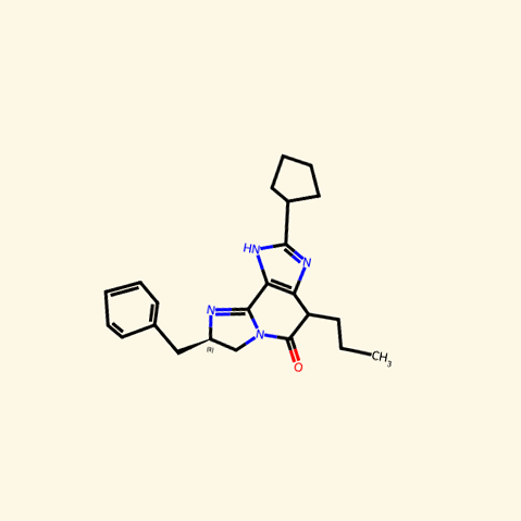 CCCC1C(=O)N2C[C@@H](Cc3ccccc3)N=C2c2[nH]c(C3CCCC3)nc21